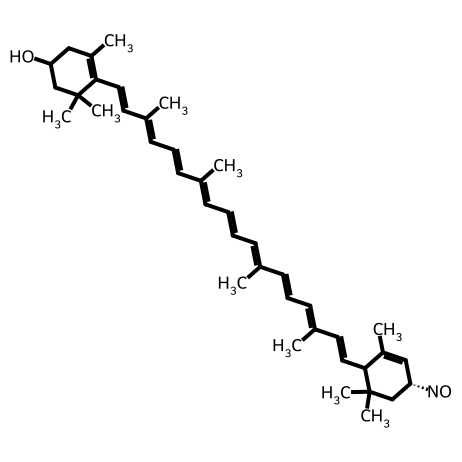 CC1=C[C@H](N=O)CC(C)(C)C1/C=C/C(C)=C/C=C/C(C)=C/C=C/C=C(C)/C=C/C=C(C)/C=C/C1=C(C)CC(O)CC1(C)C